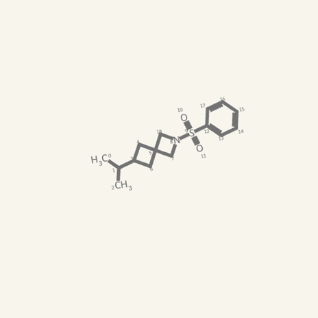 CC(C)C1CC2(C1)CN(S(=O)(=O)c1ccccc1)C2